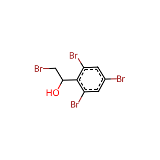 OC(CBr)c1c(Br)cc(Br)cc1Br